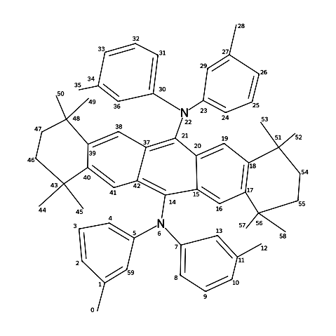 Cc1cccc(N(c2cccc(C)c2)c2c3cc4c(cc3c(N(c3cccc(C)c3)c3cccc(C)c3)c3cc5c(cc23)C(C)(C)CCC5(C)C)C(C)(C)CCC4(C)C)c1